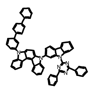 c1ccc(-c2ccc(-c3cccc(-n4c5ccccc5c5c6c7ccccc7n(-c7ccc8c9ccccc9n(-c9nc(-c%10ccccc%10)nc(-c%10ccccc%10)n9)c8c7)c6ccc54)c3)cc2)cc1